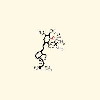 C#C[C@@H](C)[C@H]1CCC2/C(=C/C=C3/C[C@@H](C)C(=C)[C@H](O[Si](C)(C)C(C)(C)C)C3)CCC[C@@]21C